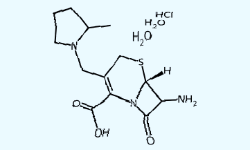 CC1CCCN1CC1=C(C(=O)O)N2C(=O)C(N)[C@H]2SC1.Cl.O.O